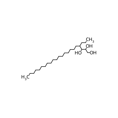 CCCCCCCCCCCCCCCCCCC(CCC)C(O)C(O)CO